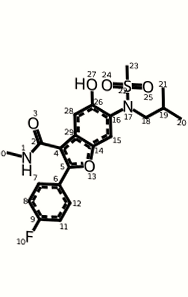 CNC(=O)c1c(-c2ccc(F)cc2)oc2cc(N(CC(C)C)S(C)(=O)=O)c(O)cc12